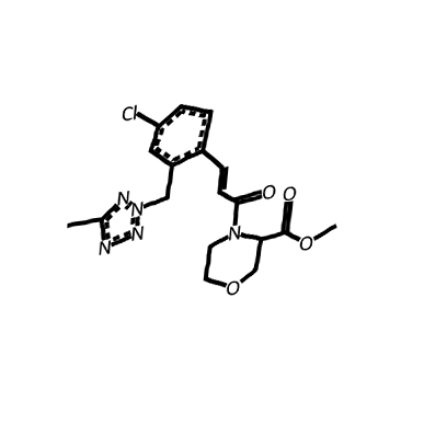 COC(=O)C1COCCN1C(=O)C=Cc1ccc(Cl)cc1Cn1nnc(C)n1